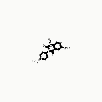 CCOC(=O)N1CCC(n2c(=O)c3cc(OC)ccc3n(CC)c2=O)CC1